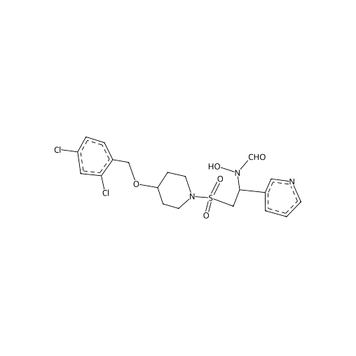 O=CN(O)C(CS(=O)(=O)N1CCC(OCc2ccc(Cl)cc2Cl)CC1)c1cccnc1